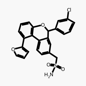 NS(=O)(=O)Cc1ccc2c(c1)C(c1cccc(Cl)c1)Oc1cccc(-c3ccco3)c1-2